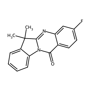 CC1(C)c2ccccc2-n2c1nc1cc(F)ccc1c2=O